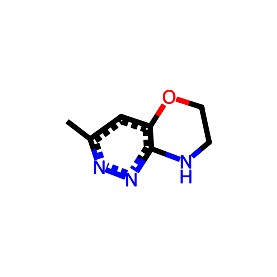 Cc1cc2c(nn1)NCCO2